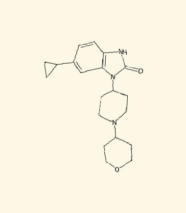 O=c1[nH]c2ccc(C3CC3)cc2n1C1CCN(C2CCOCC2)CC1